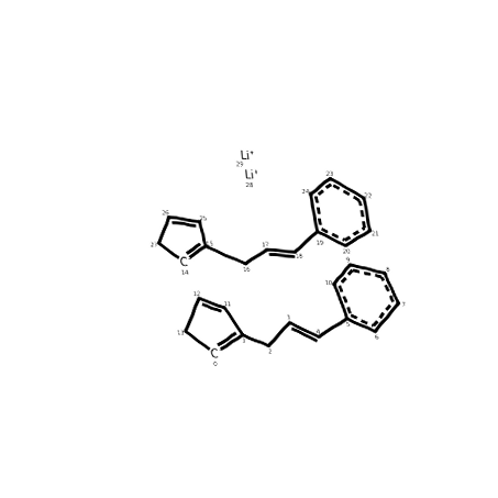 [C-]1=C(CC=Cc2ccccc2)C=CC1.[C-]1=C(CC=Cc2ccccc2)C=CC1.[Li+].[Li+]